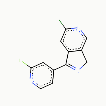 Fc1cc(C2=NCc3cnc(Cl)cc32)ccn1